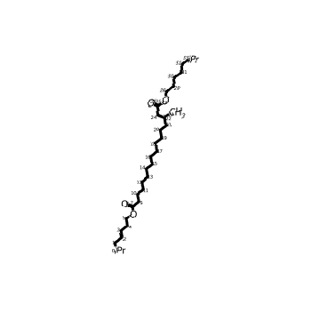 CC(C)CCCCCOC(=O)CCCCCCCCCCCCCC(C)CC(=O)OCCCCCC(C)C